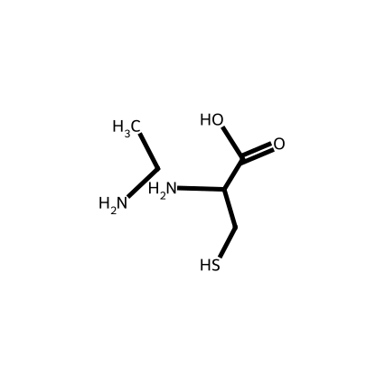 CCN.NC(CS)C(=O)O